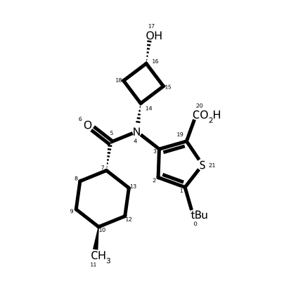 CC(C)(C)c1cc(N(C(=O)[C@H]2CC[C@H](C)CC2)[C@H]2C[C@@H](O)C2)c(C(=O)O)s1